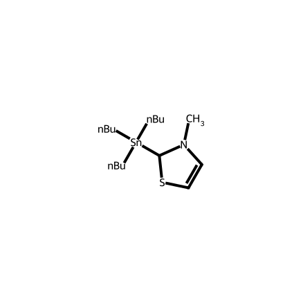 CCC[CH2][Sn]([CH2]CCC)([CH2]CCC)[CH]1SC=CN1C